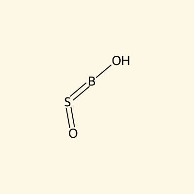 O=S=BO